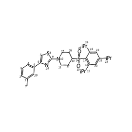 Cc1cccc(-c2csc(N3CCC(S(=O)(=O)c4c(C(C)C)cc(C(C)C)cc4C(C)C)CC3)n2)c1